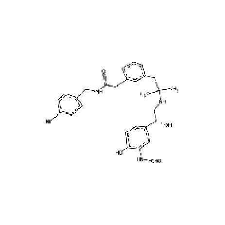 CC(C)(Cc1cccc(CC(=O)NCc2ccc(C#N)cc2)c1)NC[C@H](O)c1ccc(O)c(NC=O)c1